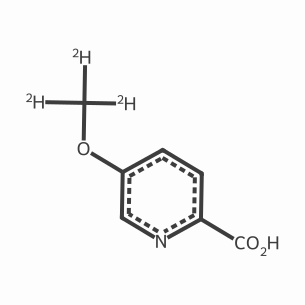 [2H]C([2H])([2H])Oc1ccc(C(=O)O)nc1